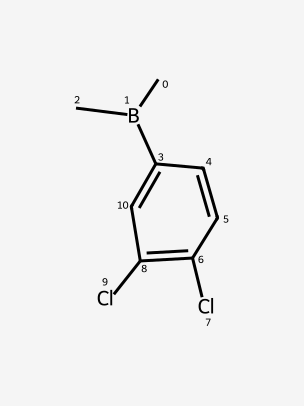 CB(C)c1ccc(Cl)c(Cl)c1